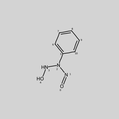 O=NN(NO)c1ccccc1